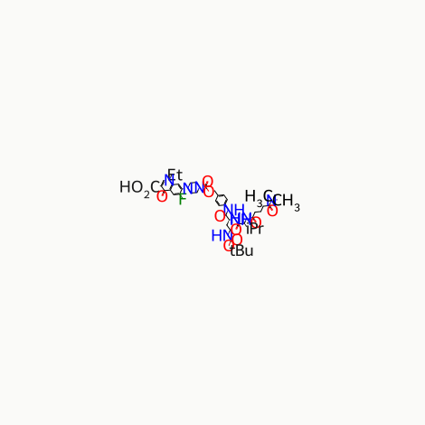 CCn1cc(C(=O)O)c(=O)c2cc(F)c(N3CCN(C(=O)OCc4ccc(NC(=O)[C@H](CCNC(=O)OC(C)(C)C)NC(=O)[C@@H](NC(=O)CCCC(=O)N(C)C)C(C)C)cc4)CC3)cc21